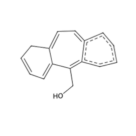 OCC1=c2ccccc2=CC=C2CC=CC=C21